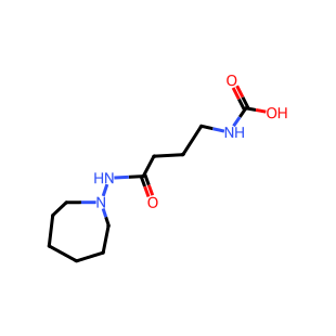 O=C(O)NCCCC(=O)NN1CCCCCC1